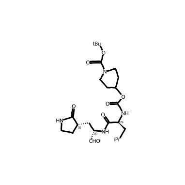 CC(C)C[C@H](NC(=O)OC1CCN(C(=O)OC(C)(C)C)CC1)C(=O)N[C@H](C=O)C[C@@H]1CCNC1=O